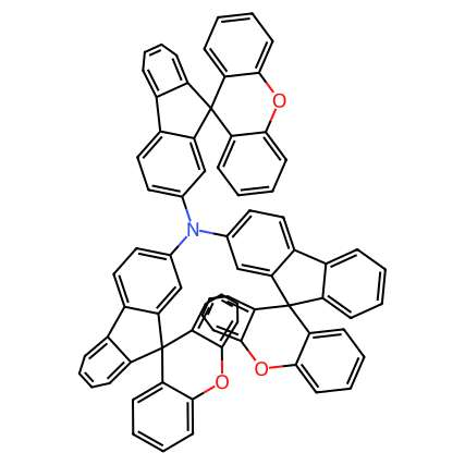 c1ccc2c(c1)Oc1ccccc1C21c2ccccc2-c2ccc(N(c3ccc4c(c3)C3(c5ccccc5Oc5ccccc53)c3ccccc3-4)c3ccc4c(c3)C3(c5ccccc5Oc5ccccc53)c3ccccc3-4)cc21